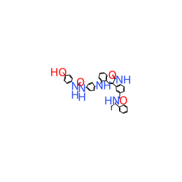 CC[C@@H](NC(=O)c1ccc2c(c1)/C(=C/c1ccccc1Nc1ccc(NC(=O)Nc3ccc(O)cc3)cc1)C(=O)N2)c1ccccc1